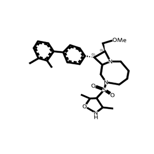 COC[C@@H]1[C@@H](c2ccc(-c3cccc(C)c3C)cc2)C2CN(S(=O)(=O)C3C(C)NOC3C)CCCCN21